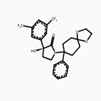 O=C1N(C2(c3ccccc3)CCC3(CC2)OCCO3)CC[C@]1(O)c1cc(C(F)(F)F)cc(C(F)(F)F)c1